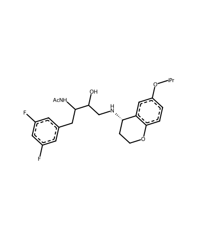 CC(=O)NC(Cc1cc(F)cc(F)c1)C(O)CN[C@H]1CCOc2ccc(OC(C)C)cc21